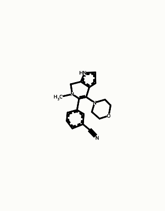 CN1Cc2[nH]ccc2C(N2CCOCC2)=C1c1cccc(C#N)c1